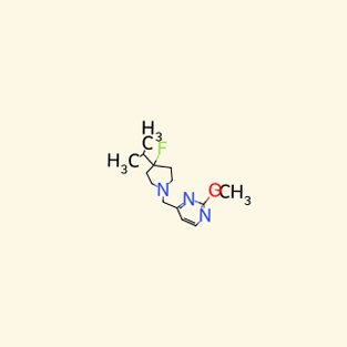 COc1nccc(CN2CCC(F)(C(C)C)CC2)n1